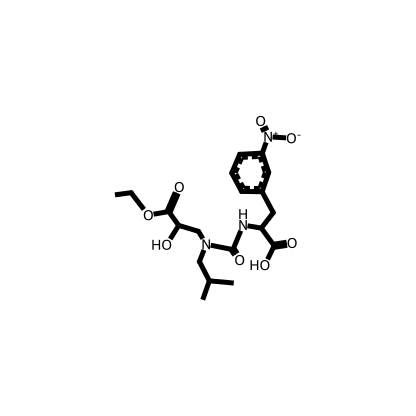 CCOC(=O)C(O)CN(CC(C)C)C(=O)NC(Cc1cccc([N+](=O)[O-])c1)C(=O)O